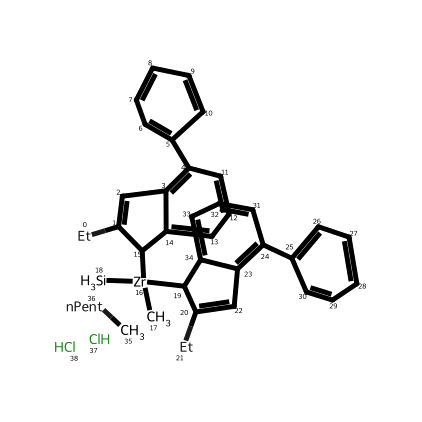 CCC1=Cc2c(-c3ccccc3)cccc2[CH]1[Zr]([CH3])([SiH3])[CH]1C(CC)=Cc2c(-c3ccccc3)cccc21.CCCCCC.Cl.Cl